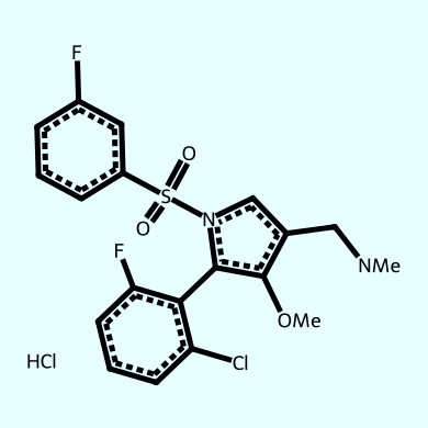 CNCc1cn(S(=O)(=O)c2cccc(F)c2)c(-c2c(F)cccc2Cl)c1OC.Cl